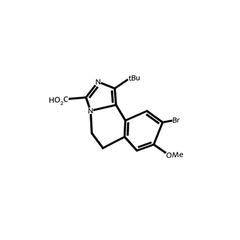 COc1cc2c(cc1Br)-c1c(C(C)(C)C)nc(C(=O)O)n1CC2